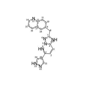 N=C(/C=C\c1nnc(Cc2ccc3ncccc3c2)[nH]1)c1cn[nH]c1